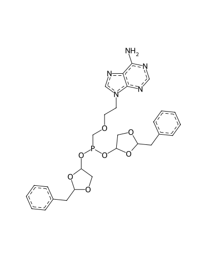 Nc1ncnc2c1ncn2CCOCP(OC1COC(Cc2ccccc2)O1)OC1COC(Cc2ccccc2)O1